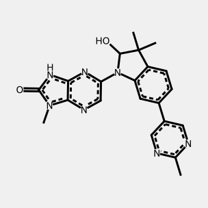 Cc1ncc(-c2ccc3c(c2)N(c2cnc4c(n2)[nH]c(=O)n4C)C(O)C3(C)C)cn1